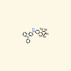 [2H]c1c([2H])c([2H])c(-c2ccc(Nc3ccc4c(c3)c3ccccc3n4-c3ccccc3)cc2)c([2H])c1[2H]